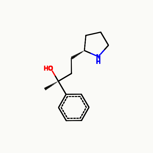 C[C@](O)(CC[C@@H]1CCCN1)c1ccccc1